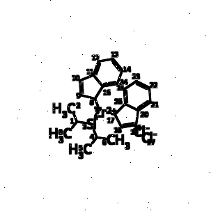 CC(C)[Si](C(C)C)=[Zr+2]([CH]1C=Cc2ccccc21)[CH]1C=Cc2ccccc21.[Cl-].[Cl-]